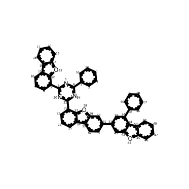 c1ccc(-c2nc(-c3cccc4c3oc3ccccc34)nc(-c3cccc4c3oc3cc(-c5cc(-c6ccccc6)c6c(c5)oc5ccccc56)ccc34)n2)cc1